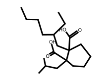 CCCCC(CC)CC1(C(=O)O)CCCCC1(CC(C)C)C(=O)O